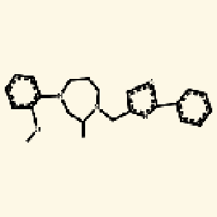 COc1ccccc1N1CCCN(Cc2csc(-c3ccccc3)n2)C(C)C1